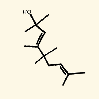 CC(C)=CCC(C)(C)/C(C)=C/C(C)(C)O